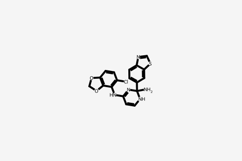 NC1(c2ccc3ncsc3c2)N=C(Nc2c(Cl)ccc3c2OCO3)C=CN1